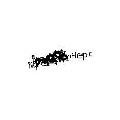 CCCCCCC[C@H]1CC[C@@H]2CC(c3ccc(C(=O)Oc4cc(F)c(C#N)c(F)c4)cc3F)CC[C@H]2C1